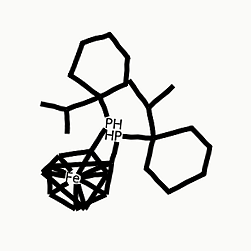 CC(C)C1(P[C]23[CH]4[CH]5[CH]6[CH]2[Fe]56432789[CH]3[CH]2[CH]7[C]8(PC2(C(C)C)CCCCC2)[CH]39)CCCCC1